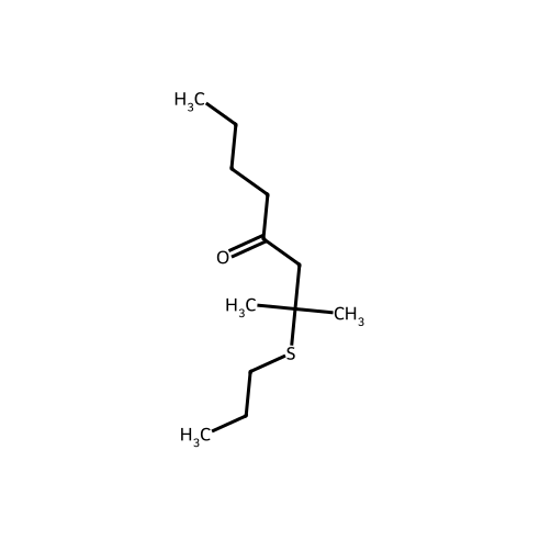 CCCCC(=O)CC(C)(C)SCCC